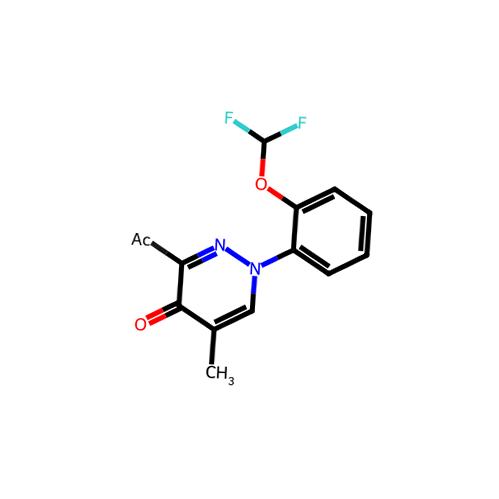 CC(=O)c1nn(-c2ccccc2OC(F)F)cc(C)c1=O